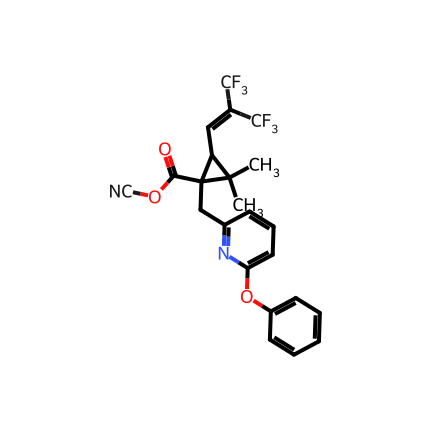 CC1(C)C(C=C(C(F)(F)F)C(F)(F)F)C1(Cc1cccc(Oc2ccccc2)n1)C(=O)OC#N